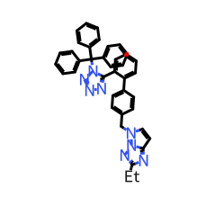 CCc1nc2ccn(Cc3ccc(-c4ccccc4-c4nnnn4C(c4ccccc4)(c4ccccc4)c4ccccc4)cc3)n2n1